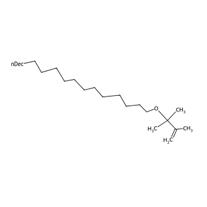 C=C(C)C(C)(C)OCCCCCCCCCCCCCCCCCCCCCC